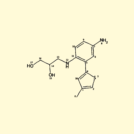 Cc1csc(-c2cc(N)ccc2NCC(O)CO)c1